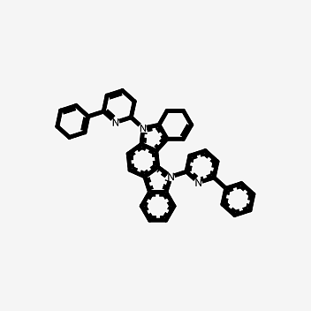 C1=CC(C2=NC(n3c4c(c5c3ccc3c6ccccc6n(-c6cccc(-c7ccccc7)n6)c35)C=CCC4)CC=C2)=CCC1